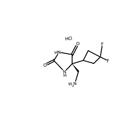 Cl.NC[C@@]1(C2CC(F)(F)C2)NC(=O)NC1=O